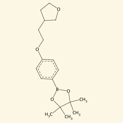 CC1(C)OB(c2ccc(OCCC3CCOC3)cc2)OC1(C)C